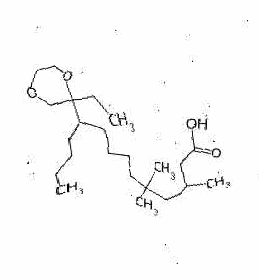 CCCCC(CCCCC(C)(C)CC(C)CC(=O)O)C1(CC)COCCO1